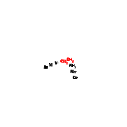 O.O.[AlH3].[Cu].[Mn].[Ni].[V].[Zn]